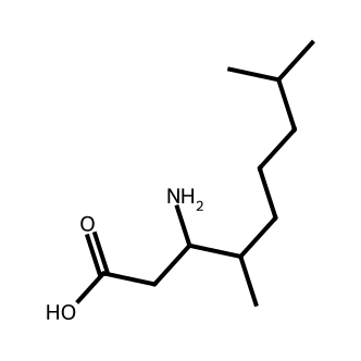 CC(C)CCCC(C)C(N)CC(=O)O